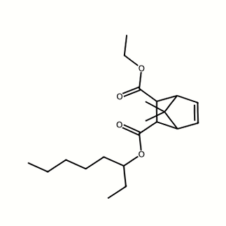 CCCCCC(CC)OC(=O)C1C(C(=O)OCC)C2C=CC1C2(C)C